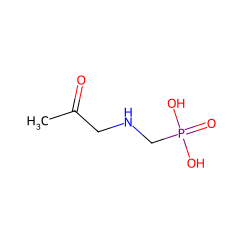 CC(=O)CNCP(=O)(O)O